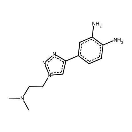 CN(C)CCn1cc(-c2ccc(N)c(N)c2)nn1